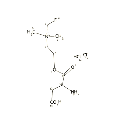 C[N+](C)(CF)CCOC(=O)C(N)CC(=O)O.Cl.[Cl-]